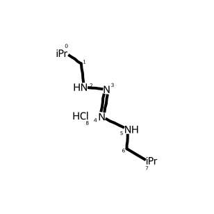 CC(C)CNN=NNCC(C)C.Cl